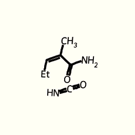 CCC=C(C)C(N)=O.N=C=O